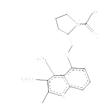 CCOC(=O)c1c(C)nc2cccc(OC[C@@H]3CCCN3C(=O)C(C)C)c2c1N